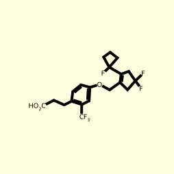 O=C(O)CCc1ccc(OCC2=C(C3(F)CCC3)CC(F)(F)C2)cc1C(F)(F)F